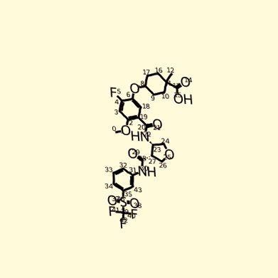 COc1cc(F)c(OC2CCC(C)(C(=O)O)CC2)cc1C(=O)N[C@@H]1COC[C@@H]1C(=O)Nc1cccc(S(=O)(=O)C(F)(F)F)c1